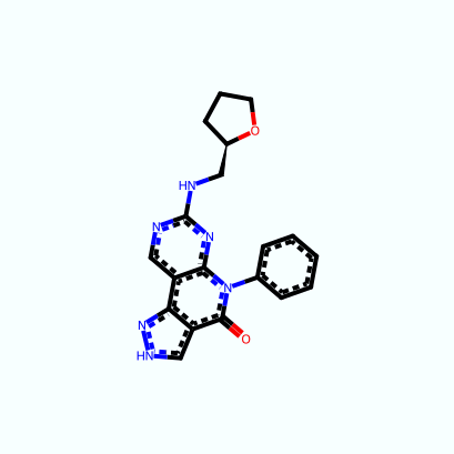 O=c1c2c[nH]nc2c2cnc(NC[C@H]3CCCO3)nc2n1-c1ccccc1